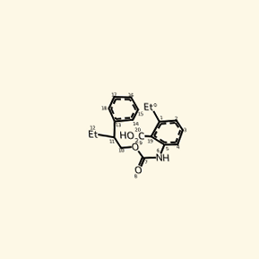 CCc1cccc(NC(=O)OCC(CC)c2ccccc2)c1C(=O)O